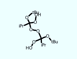 CC(C)C(OO)(OOC(OO)(OC(C)(C)C)C(C)C)OC(C)(C)C